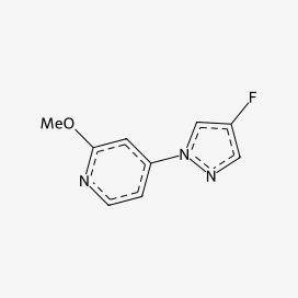 COc1cc(-n2cc(F)cn2)ccn1